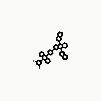 Fc1cc(F)cc(-c2c3ccccc3c(-c3ccc(-c4ccc5c(-c6ccc7ccccc7c6)c6c(c(-c7ccc8ccccc8c7)c5c4)CCC=C6)cc3)c3ccccc23)c1